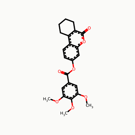 COc1cc(C(=O)Oc2ccc3c4c(c(=O)oc3c2)CCCC4)cc(OC)c1OC